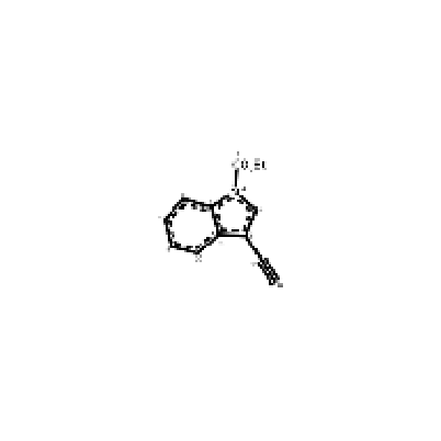 C#Cc1cn(C(=O)OCC)c2ccccc12